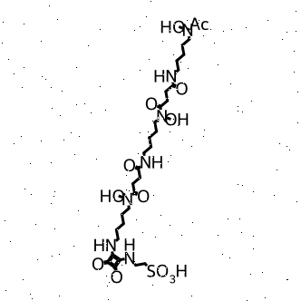 CC(=O)N(O)CCCCCNC(=O)CCC(=O)N(O)CCCCCNC(=O)CCC(=O)N(O)CCCCCNc1c(NCCS(=O)(=O)O)c(=O)c1=O